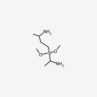 CO[Si](CCC(C)N)(OC)C(C)N